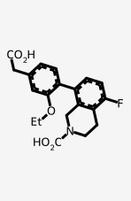 CCOc1cc(CC(=O)O)ccc1-c1ccc(F)c2c1CN(C(=O)O)CC2